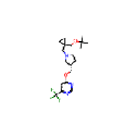 CC(C)(C)OCC1(CN2CC[C@H](COc3cc(C(F)(F)F)ncn3)C2)CC1